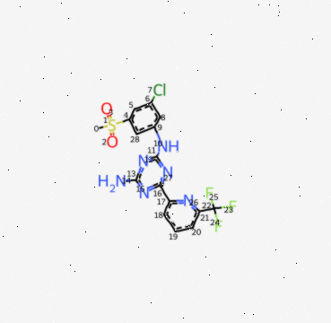 CS(=O)(=O)c1cc(Cl)cc(Nc2nc(N)nc(-c3cccc(C(F)(F)F)n3)n2)c1